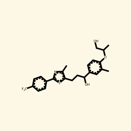 Cc1cc(C(O)CCc2sc(-c3ccc(C(F)(F)F)cc3)nc2C)ccc1OC(C)CO